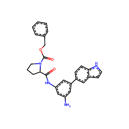 Nc1cc(NC(=O)C2CCCN2C(=O)OCc2ccccc2)cc(-c2ccc3[nH]ccc3c2)c1